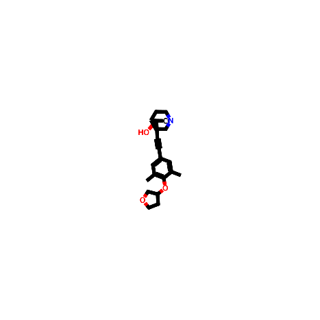 Cc1cc(C#CC2(O)CN3CCC2CC3)cc(C)c1OC1CCOC1